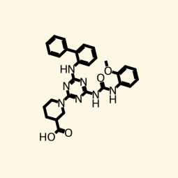 COc1ccccc1NC(=O)Nc1nc(Nc2ccccc2-c2ccccc2)nc(N2CCCC(C(=O)O)C2)n1